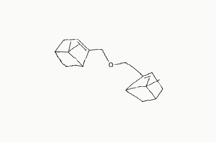 CC1(C)C2CC=C(COCC3=CCC4CC3C4(C)C)C1C2